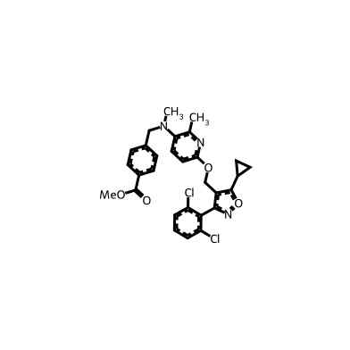 COC(=O)c1ccc(CN(C)c2ccc(OCc3c(-c4c(Cl)cccc4Cl)noc3C3CC3)nc2C)cc1